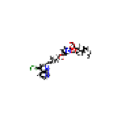 CC(C)(C)OC(=O)N1CC[C@@H](OCCCCCc2cc(Cl)c3cccnc3n2)C1